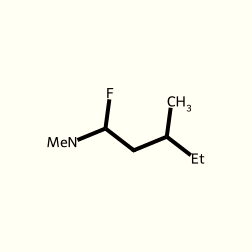 CCC(C)CC(F)NC